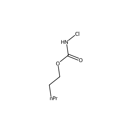 CCCCCOC(=O)NCl